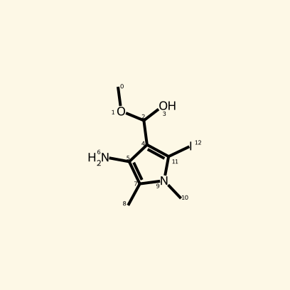 COC(O)c1c(N)c(C)n(C)c1I